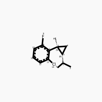 CC(C)[C@H]1C[C@]1(C)c1c(F)cccc1Cl